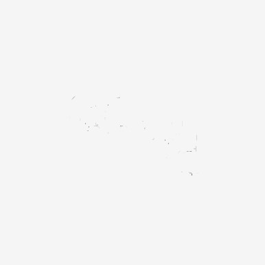 CC(C)N(CCc1ccc2c(c1)CO/C2=C1/C(=O)Nc2ccccc21)C[C@@H](O)CO